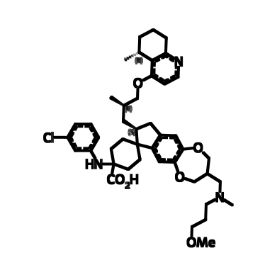 COCCCN(C)CC1COc2cc3c(cc2OC1)C1(CCC(Nc2cccc(Cl)c2)(C(=O)O)CC1)[C@@H](C[C@@H](C)COc1ccnc2c1[C@H](C)CCC2)C3